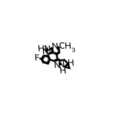 Cc1cc(-c2c(-c3ccc(F)cc3)nn3c2C[C@@H]2C[C@@H]23)c2cn[nH]c2n1